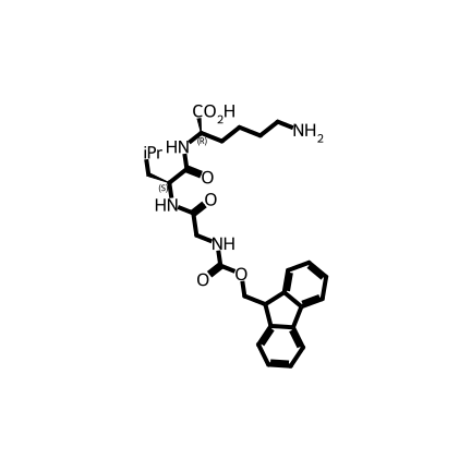 CC(C)C[C@H](NC(=O)CNC(=O)OCC1c2ccccc2-c2ccccc21)C(=O)N[C@H](CCCCN)C(=O)O